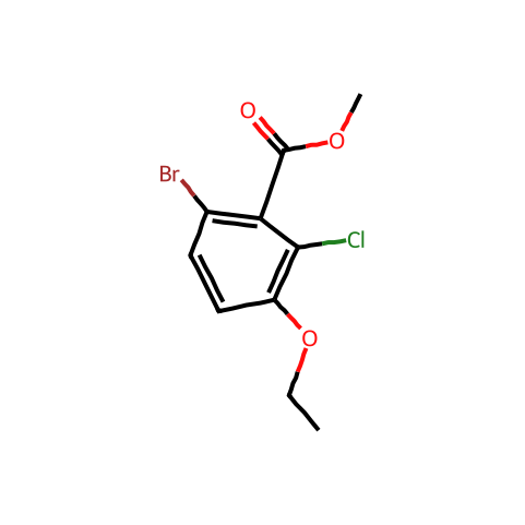 CCOc1ccc(Br)c(C(=O)OC)c1Cl